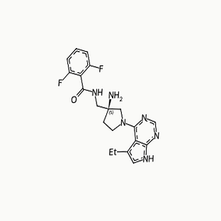 CCc1c[nH]c2ncnc(N3CC[C@](N)(CNC(=O)c4c(F)cccc4F)C3)c12